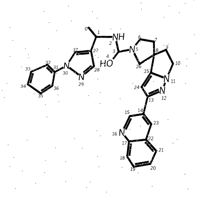 CC(NC(O)N1CCC2(CCn3nc(-c4cnc5ccccc5c4)cc32)C1)c1cnn(-c2ccccc2)c1